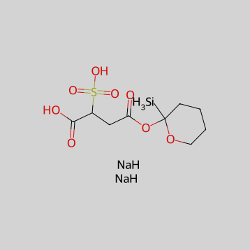 O=C(CC(C(=O)O)S(=O)(=O)O)OC1([SiH3])CCCCO1.[NaH].[NaH]